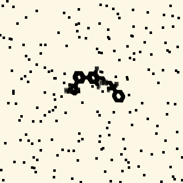 Fc1cc(-c2cccc(-c3nc[nH]n3)c2)cc(F)c1CNCC(F)(F)C1CCCCC1